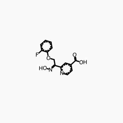 O=C(O)c1ccnc(/C(COc2ccccc2F)=N/O)c1